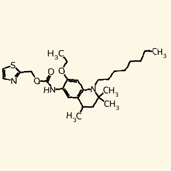 CCCCCCCCN1c2cc(OCC)c(NC(=O)OCc3nccs3)cc2C(C)CC1(C)C